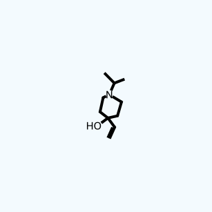 C=CC1(O)CCN(C(C)C)CC1